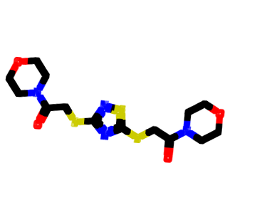 O=C(CSc1nsc(SCC(=O)N2CCOCC2)n1)N1CCOCC1